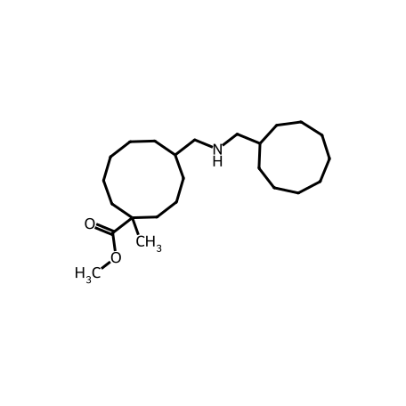 COC(=O)C1(C)CCCCCC(CNCC2CCCCCCCC2)CCC1